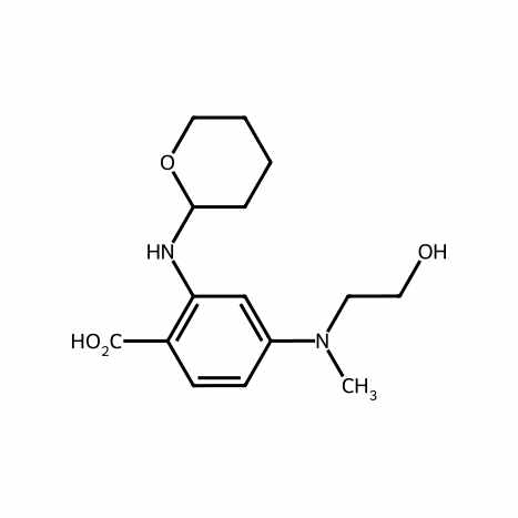 CN(CCO)c1ccc(C(=O)O)c(NC2CCCCO2)c1